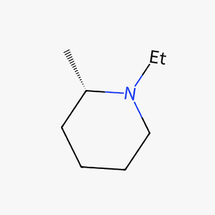 CCN1CCCC[C@@H]1C